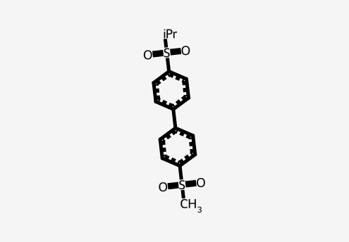 CC(C)S(=O)(=O)c1ccc(-c2ccc(S(C)(=O)=O)cc2)cc1